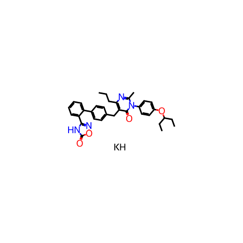 CCCc1nc(C)n(-c2ccc(OC(CC)CC)cc2)c(=O)c1Cc1ccc(-c2ccccc2-c2noc(=O)[nH]2)cc1.[KH]